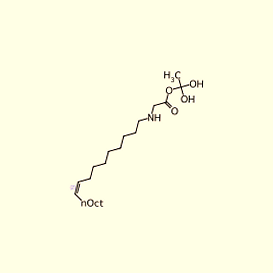 CCCCCCCC/C=C\CCCCCCCCNCC(=O)OC(C)(O)O